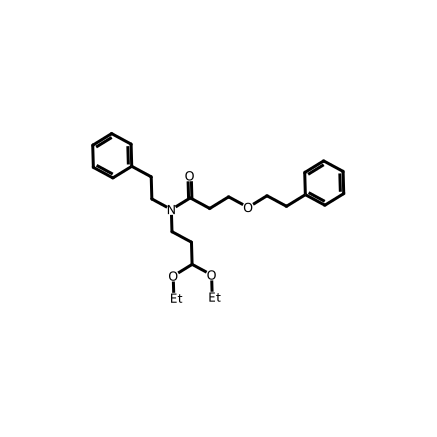 CCOC(CCN(CCc1ccccc1)C(=O)CCOCCc1ccccc1)OCC